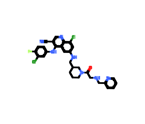 N#Cc1cnc2c(Cl)cc(NCC3CCCN(C(=O)CNCc4ccccn4)C3)cc2c1Nc1ccc(F)c(Cl)c1